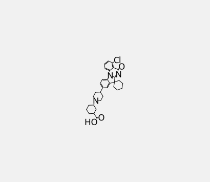 O=C(O)C1CCCC(N2CCC(c3ccc4c(c3)C3(CCCCC3)c3nc(=O)c5c(Cl)cccc5n3-4)CC2)C1